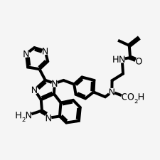 C=C(C)C(=O)NCCN(Cc1ccc(Cn2c(-c3cncnc3)nc3c(N)nc4ccccc4c32)cc1)C(=O)O